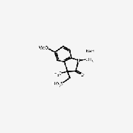 COc1ccc2c(c1)C(C)(CS(=O)(=O)O)C(=O)N2C.[NaH]